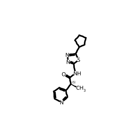 C[C@H](C(=O)Nc1nnc(C2CCCC2)s1)c1cccnc1